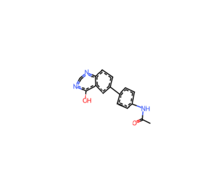 CC(=O)Nc1ccc(-c2ccc3ncnc(O)c3c2)cc1